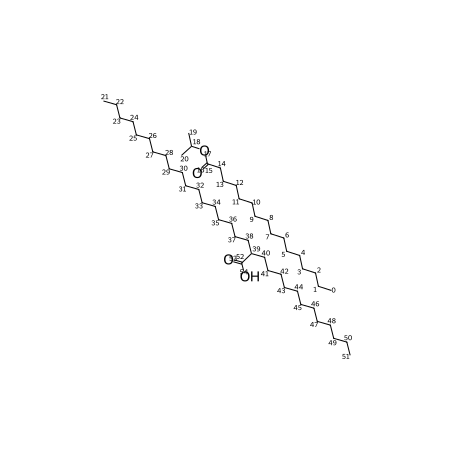 CCCCCCCCCCCCCCCC(=O)OC(C)C.CCCCCCCCCCCCCCCCCCC(CCCCCCCCCCCC)C(=O)O